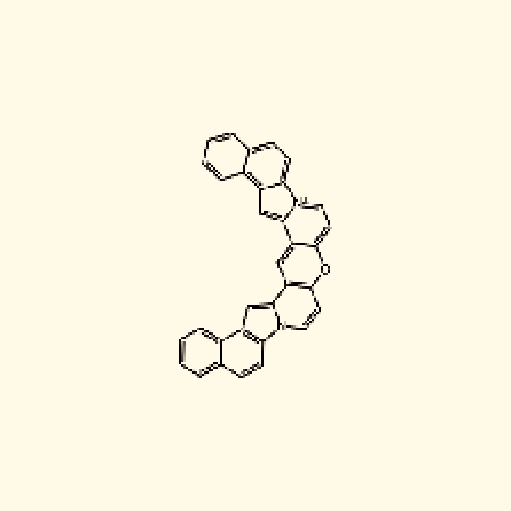 c1ccc2c(c1)ccc1c2cc2c3cc4c(cc[n+]5c4cc4c6ccccc6ccc45)oc3ccn21